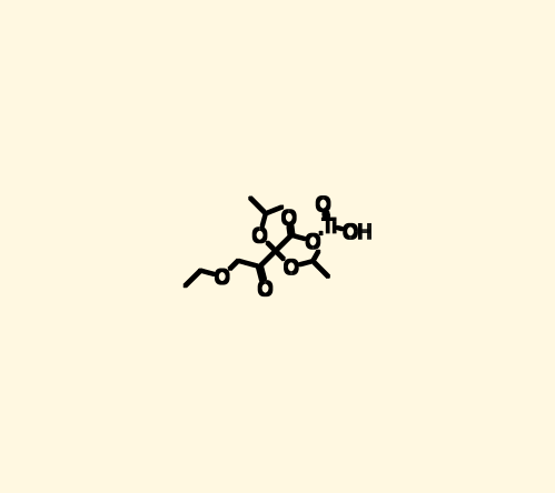 CCOCC(=O)C(OC(C)C)(OC(C)C)C(=O)[O][Ti](=[O])[OH]